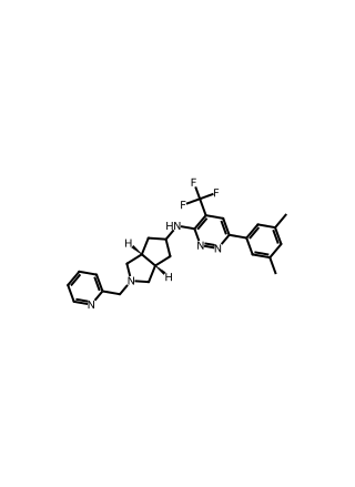 Cc1cc(C)cc(-c2cc(C(F)(F)F)c(NC3C[C@@H]4CN(Cc5ccccn5)C[C@@H]4C3)nn2)c1